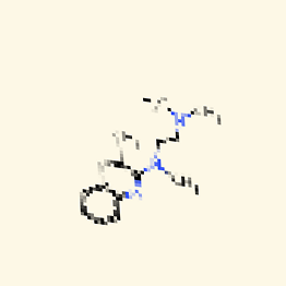 Cc1cc2ccccc2nc1N(C)CCN(C)C